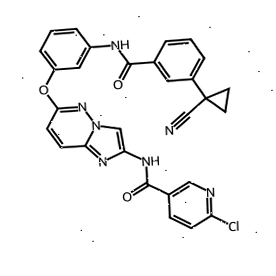 N#CC1(c2cccc(C(=O)Nc3cccc(Oc4ccc5nc(NC(=O)c6ccc(Cl)nc6)cn5n4)c3)c2)CC1